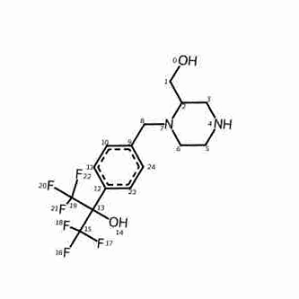 OCC1CNCCN1Cc1ccc(C(O)(C(F)(F)F)C(F)(F)F)cc1